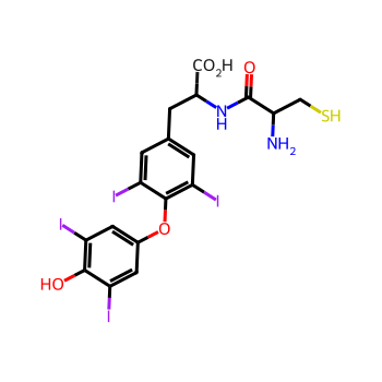 NC(CS)C(=O)NC(Cc1cc(I)c(Oc2cc(I)c(O)c(I)c2)c(I)c1)C(=O)O